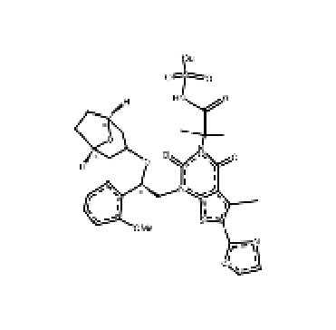 COc1ccccc1[C@H](Cn1c(=O)n(C(C)(C)C(=O)NS(=O)(=O)C(C)(C)C)c(=O)c2c(C)c(-c3ncco3)sc21)OC1C[C@H]2CC[C@@H](C1)O2